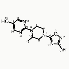 CC(C)c1noc(N2CCN(c3ncc(O)cn3)C(C)C2)n1